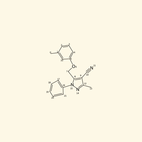 Cc1cccc(OCc2c(C#N)c(C)nn2-c2ccccc2)c1